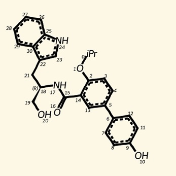 CC(C)Oc1ccc(-c2ccc(O)cc2)cc1C(=O)N[C@@H](CO)Cc1c[nH]c2ccccc12